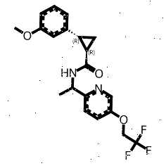 COc1cccc([C@@H]2C[C@H]2C(=O)NC(C)c2ccc(OCC(F)(F)F)cn2)c1